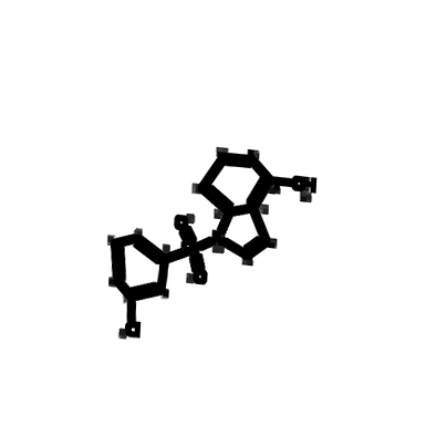 O=S(=O)(c1cccc(Cl)c1)n1ccc2c(O)cccc21